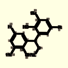 CCc1cc(C(OC#N)c2cc(CC)cc(C(C)(C)C)c2O)c(O)c(C(C)(C)C)c1